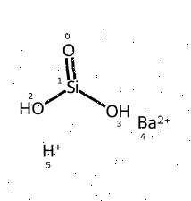 O=[Si](O)O.[Ba+2].[H+]